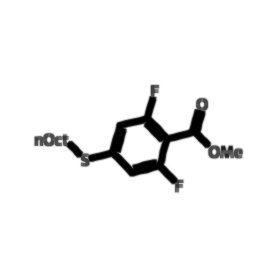 CCCCCCCCSc1cc(F)c(C(=O)OC)c(F)c1